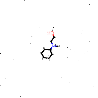 CN(CCO)C1CC[CH]CC1